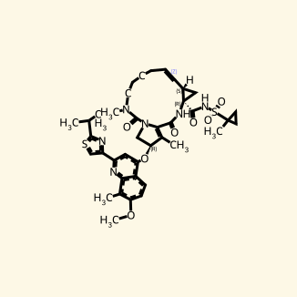 COc1ccc2c(O[C@H]3CN4C(=O)N(C)CCCC/C=C\[C@@H]5C[C@@]5(C(=O)NS(=O)(=O)C5(C)CC5)NC(=O)C4=C3C)cc(-c3csc(C(C)C)n3)nc2c1C